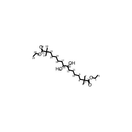 CCOC(=O)C(C)(C)CCCCC[C@@H](O)[C@H](O)CCCCCC(C)(C)C(=O)OCC